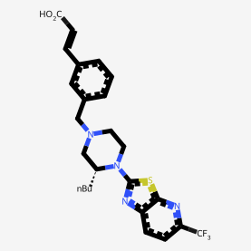 CCCC[C@@H]1CN(Cc2cccc(/C=C/C(=O)O)c2)CCN1c1nc2ccc(C(F)(F)F)nc2s1